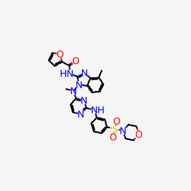 Cc1cccc2c1nc(NC(=O)c1ccco1)n2N(C)c1ccnc(Nc2cccc(S(=O)(=O)N3CCOCC3)c2)n1